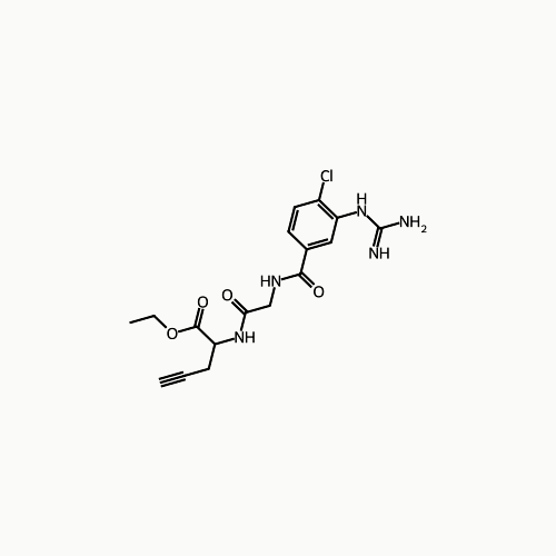 C#CCC(NC(=O)CNC(=O)c1ccc(Cl)c(NC(=N)N)c1)C(=O)OCC